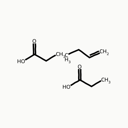 C=CCC.CCC(=O)O.CCC(=O)O